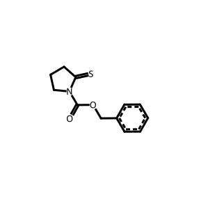 O=C(OCc1ccccc1)N1CCCC1=S